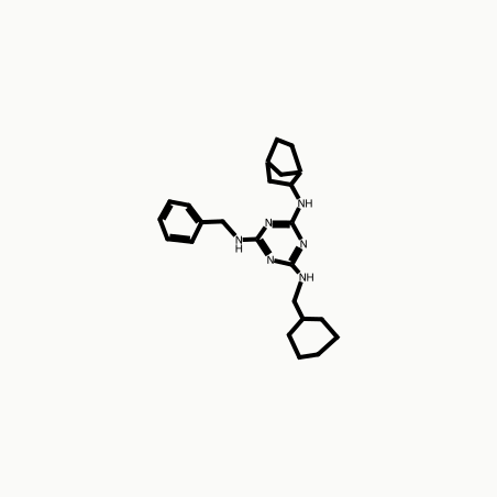 c1ccc(CNc2nc(NCC3CCCCC3)nc(NC3CC4CCC3C4)n2)cc1